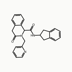 O=C(NC1Cc2ccccc2C1)C1c2ccccc2CC(=O)N1Cc1ccccn1